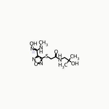 CN/C(=N\O)c1nonc1SCC(=O)NCC(C)(C)O